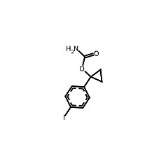 NC(=O)OC1(c2ccc(I)cc2)CC1